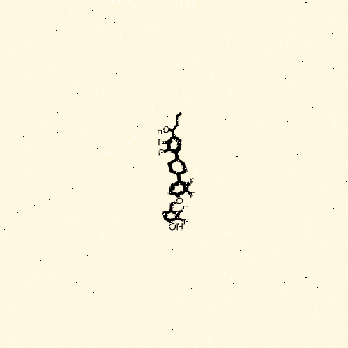 CCCC(O)c1ccc(C2CCC(c3ccc(OCc4ccc(O)c(F)c4F)c(F)c3F)CC2)c(F)c1F